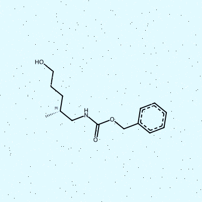 C[C@H](CCCO)CNC(=O)OCc1ccccc1